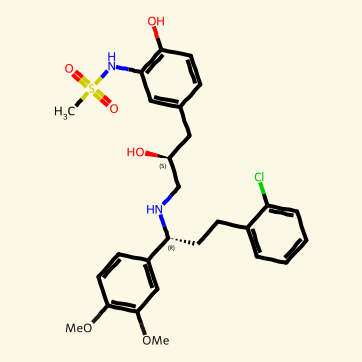 COc1ccc([C@@H](CCc2ccccc2Cl)NC[C@@H](O)Cc2ccc(O)c(NS(C)(=O)=O)c2)cc1OC